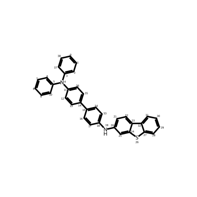 c1ccc(N(c2ccccc2)c2ccc(-c3ccc(Nc4ccc5c(c4)sc4ccccc45)cc3)cc2)cc1